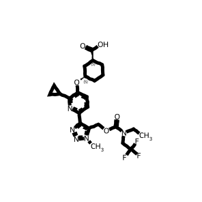 CCN(CC(F)(F)F)C(=O)OCc1c(-c2ccc(O[C@H]3CCC[C@H](C(=O)O)C3)c(C3CC3)n2)nnn1C